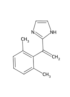 C=C(c1ncc[nH]1)c1c(C)cccc1C